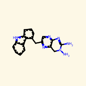 NC1=Nc2ncc(Cc3cccc4[nH]c5ccccc5c34)nc2CN1N